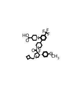 COc1ccc([C@@H]2CN(CC3CCC3)C[C@@]2(F)C(=O)N2CCC(c3ccc(C(F)(F)F)cc3N3CCC(C(=O)O)CC3)CC2)cc1